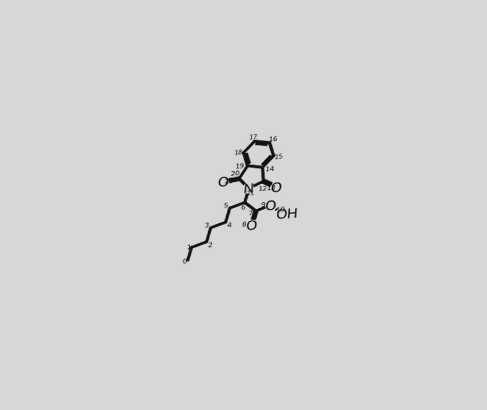 CCCCCCC(C(=O)OO)N1C(=O)c2ccccc2C1=O